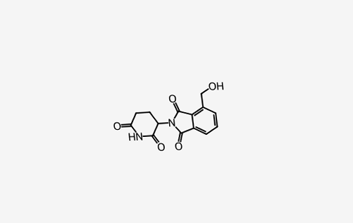 O=C1CCC(N2C(=O)c3cccc(CO)c3C2=O)C(=O)N1